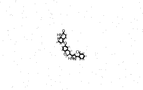 O=C1CCc2c(Oc3ccc4c(c3)CC(c3cc(-c5ccccc5Cl)n[nH]3)CO4)ccnc2N1